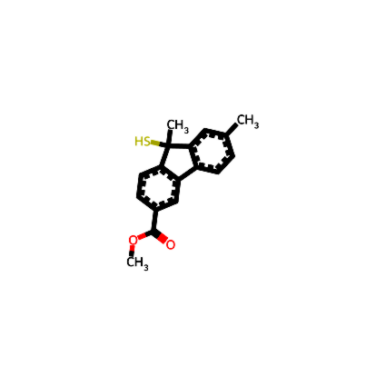 COC(=O)c1ccc2c(c1)-c1ccc(C)cc1C2(C)S